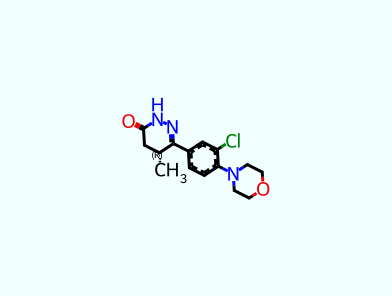 C[C@@H]1CC(=O)NN=C1c1ccc(N2CCOCC2)c(Cl)c1